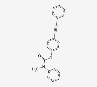 CN(C(=O)Oc1ccc(C#Cc2ccccc2)cc1)c1ccccc1